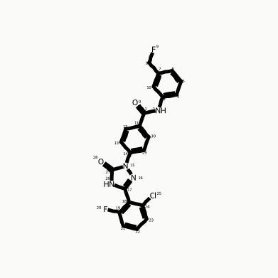 O=C(Nc1cccc(CF)c1)c1ccc(-n2nc(-c3c(F)cccc3Cl)[nH]c2=O)cc1